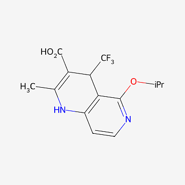 CC1=C(C(=O)O)C(C(F)(F)F)c2c(ccnc2OC(C)C)N1